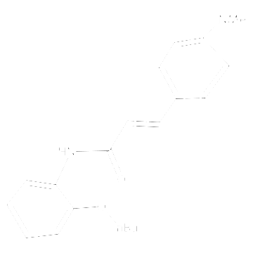 CCCCOc1ccccc1NC(=O)/C=C/c1ccc(NC)cc1